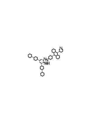 N=C1C(c2ccc(-c3ccccc3)cc2)=CC(c2ccc(-c3ccccc3)cc2)=C/C1=N/Nc1ccc(-c2c3ccccc3c(-c3cccnc3)c3ccccc23)cc1